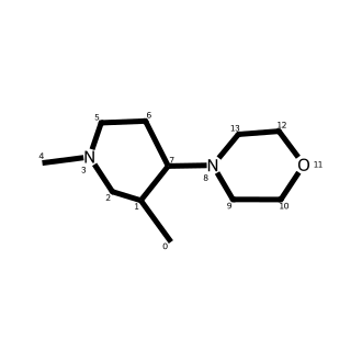 CC1CN(C)CCC1N1CCOCC1